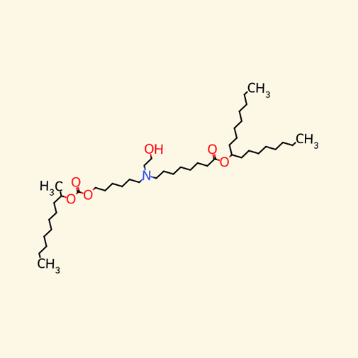 CCCCCCCCC(C)OC(=O)OCCCCCCN(CCO)CCCCCCCC(=O)OC(CCCCCCCC)CCCCCCCC